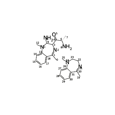 CC1=NC(C(=O)[C@H](C)N)C(N)N(C)c2ccccc21.CC1=NCCN(C)c2ccccc21